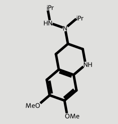 COc1cc2c(cc1OC)NCC(N(NC(C)C)C(C)C)C2